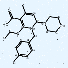 CCSC1=C(C(=O)O)C(C)=CC(N2CCOCC2)N1Cc1ccc(C)cc1